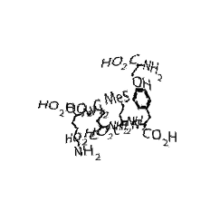 CSCCC(N)C(=O)O.NC(CCC(=O)O)C(=O)O.NC(CO)C(=O)O.NC(Cc1ccccc1)C(=O)O.NCCCCC(N)C(=O)O